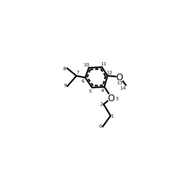 CCCOc1cc(C(C)C)ccc1OC